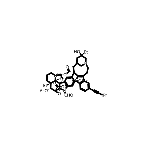 CC[C@]1(O)C[C@H]2CN(CCc3c([nH]c4ccc(C#CC(C)C)cc34)[C@@](C(=O)OC)(c3cc4c(cc3OC)N(C=O)[C@@]35O[C@]3(C(=O)OC)[C@H](OC(C)=O)[C@]3(CC)C=CCN6CC[C@]45[C@@H]63)C2)C1